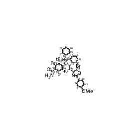 COc1ccc(-c2nc(C(CO[Si](c3ccccc3)(c3ccccc3)C(C)(C)C)Oc3ccc(F)c(C(N)=O)c3F)c(Br)o2)cc1